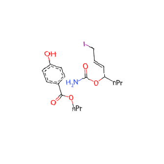 CCCC(C=CCI)OC(N)=O.CCCOC(=O)c1ccc(O)cc1